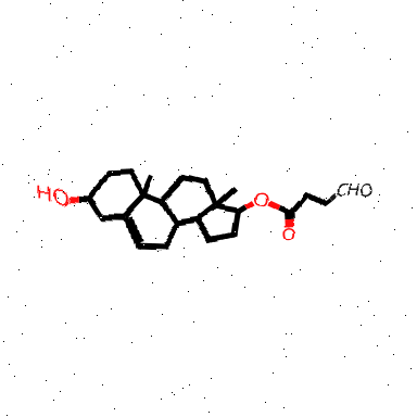 CC12CCC(O)CC1=CCC1C2CCC2(C)C(OC(=O)CCC=O)CCC12